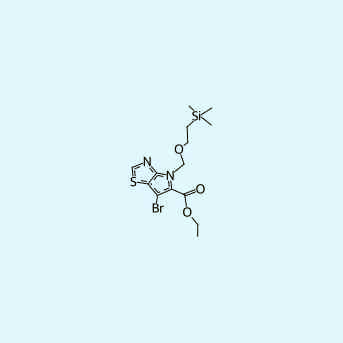 CCOC(=O)c1c(Br)c2scnc2n1COCC[Si](C)(C)C